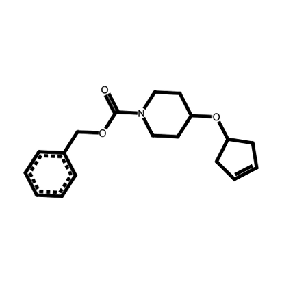 O=C(OCc1ccccc1)N1CCC(OC2CC=CC2)CC1